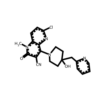 Cn1c(=O)c(C#N)c(N2CCC(O)(Cc3ccccn3)CC2)c2nc(Cl)ccc21